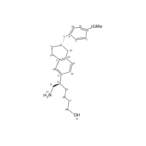 COc1ccc(C[C@H]2CCc3cc([C@H](CN)CCCCO)ccc3C2)cc1